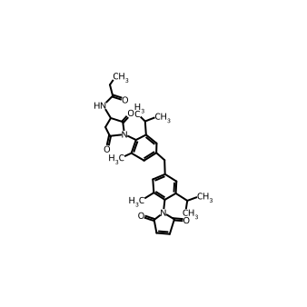 CCC(=O)NC1CC(=O)N(c2c(C)cc(Cc3cc(C)c(N4C(=O)C=CC4=O)c(C(C)C)c3)cc2C(C)C)C1=O